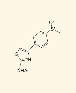 CC(=O)Nc1nc(-c2ccc([S+](C)[O-])cc2)cs1